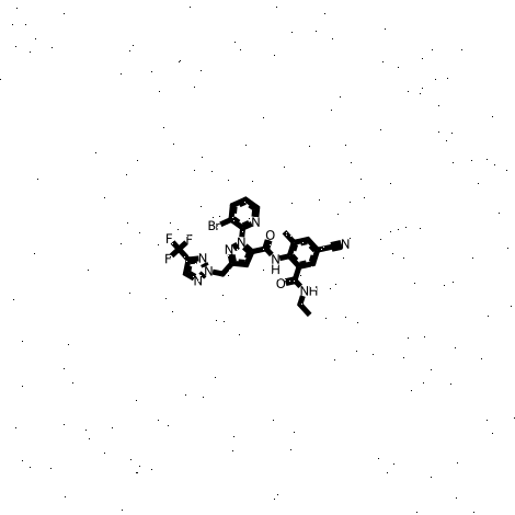 CCNC(=O)c1cc(C#N)cc(C)c1NC(=O)c1cc(Cn2ncc(C(F)(F)F)n2)nn1-c1ncccc1Br